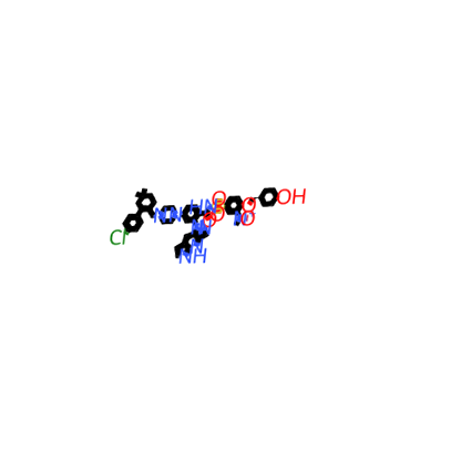 C[N+](=O)c1cc(S(=O)(=O)NC(=O)c2ccc(N3CCN(CC4=C(c5ccc(Cl)cc5)CC(C)(C)CC4)CC3)cc2-n2ncc3nc4[nH]ccc4cc32)ccc1OC[C@H]1CC[C@H](O)CC1